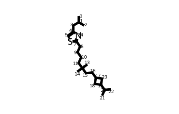 CC(C)Cc1csc(CCCCC(C)(C)CCC2CC(C(C)C)C2)n1